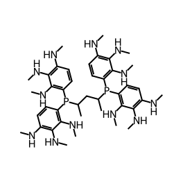 CNc1ccc(P(c2ccc(NC)c(NC)c2NC)C(C)CC(C)P(c2ccc(NC)c(NC)c2NC)c2ccc(NC)c(NC)c2NC)c(NC)c1NC